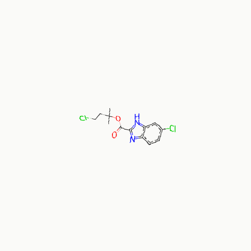 CC(C)(CCCl)OC(=O)c1nc2ccc(Cl)cc2[nH]1